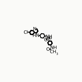 CC(=O)Nc1ccc(S(=O)(=O)NC2CCC(Nc3ccnc4cc(Cl)ccc34)CC2)cc1